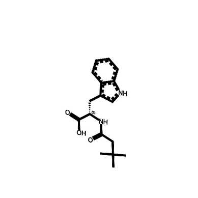 CC(C)(C)CC(=O)N[C@@H](Cc1c[nH]c2ccccc12)C(=O)O